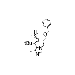 Cc1ncn(CCCOCc2ccccc2)c1C(O[SiH](C)C)C(C)(C)C